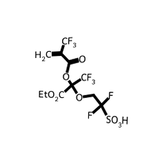 C=C(C(=O)OC(OCC(F)(F)S(=O)(=O)O)(C(=O)OCC)C(F)(F)F)C(F)(F)F